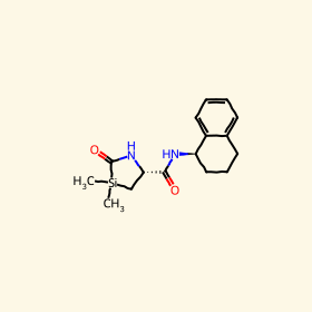 C[Si]1(C)C[C@@H](C(=O)N[C@@H]2CCCc3ccccc32)NC1=O